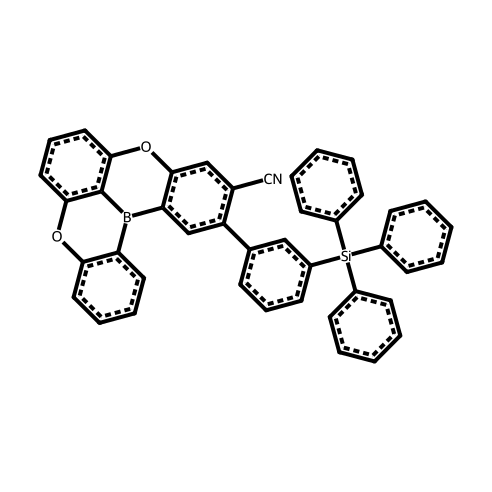 N#Cc1cc2c(cc1-c1cccc([Si](c3ccccc3)(c3ccccc3)c3ccccc3)c1)B1c3ccccc3Oc3cccc(c31)O2